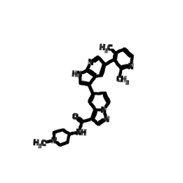 Cc1ccnc(C)c1-c1cnc2[nH]cc(-c3ccn4ncc(C(=O)NC5CCN(C)CC5)c4c3)c2c1